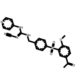 COc1ccc(C(C)=O)cc1S(=O)(=O)c1ccc(CNC(=NC#N)Nc2ccncc2)cc1